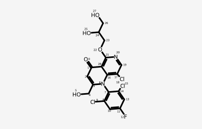 O=c1cc(CO)n(-c2c(Cl)cc(F)cc2Cl)c2c(Cl)cnc(OCC(O)CO)c12